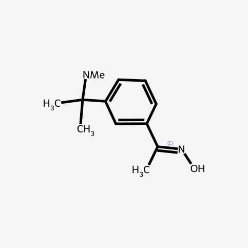 CNC(C)(C)c1cccc(/C(C)=N/O)c1